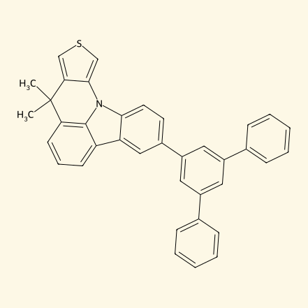 CC1(C)c2cscc2-n2c3ccc(-c4cc(-c5ccccc5)cc(-c5ccccc5)c4)cc3c3cccc1c32